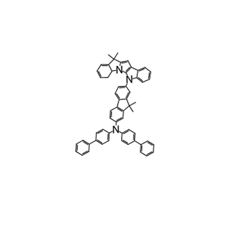 CC1(C)C2=CC=CCC2n2c1cc1c3ccccc3n(-c3ccc4c(c3)C(C)(C)c3cc(N(c5ccc(-c6ccccc6)cc5)c5ccc(-c6ccccc6)cc5)ccc3-4)c12